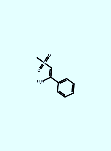 CS(=O)(=O)C=C(N)c1ccccc1